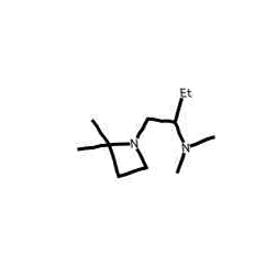 CCC(CN1CCC1(C)C)N(C)C